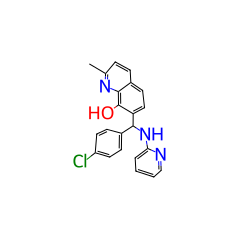 Cc1ccc2ccc(C(Nc3ccccn3)c3ccc(Cl)cc3)c(O)c2n1